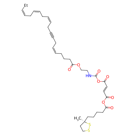 CC/C=C\C/C=C\C/C=C\CC#CC/C=C\CCCC(=O)OCCNC(=O)OC(=O)/C=C/C(=O)OC(=O)CCCC[C@]1(C)CCSS1